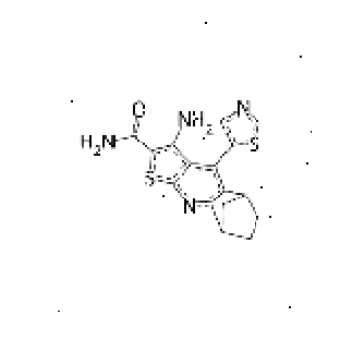 NC(=O)c1sc2nc3c(c(-c4cncs4)c2c1N)C1CCC3C1